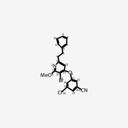 COc1nc(CCc2ccccc2)cc(Oc2cc(Cl)cc(C#N)c2)c1Br